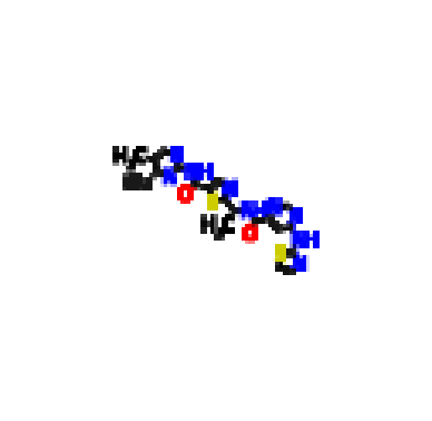 Cc1cnc(NC(=O)c2cnc(C(C)NC(=O)c3cc(Nc4nccs4)ncn3)s2)nc1C(C)(C)C